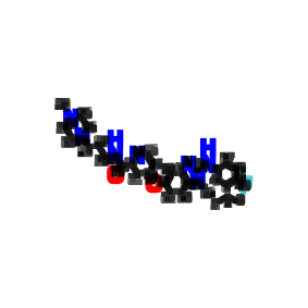 CC(C)c1cc(Nc2nc3cc(Oc4ccnc(C(=O)NCCCN5CCN(C)CC5)c4)ccc3n2C)ccc1F